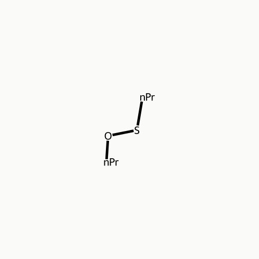 [CH2]CCOSCCC